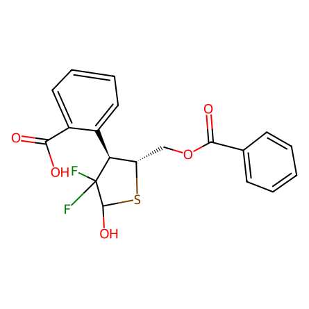 O=C(OC[C@@H]1SC(O)C(F)(F)[C@H]1c1ccccc1C(=O)O)c1ccccc1